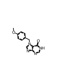 COc1ccc(Cn2cnc3nc[nH]c(=O)c32)cc1